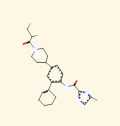 N#Cc1cnc(C(=O)Nc2ccc(C3CCN(C(=O)C(O)CO)CC3)cc2C2=CCCCC2)[nH]1